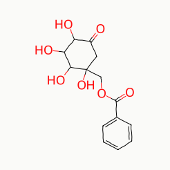 O=C(OCC1(O)CC(=O)C(O)C(O)C1O)c1ccccc1